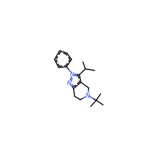 CC(C)c1c2c(nn1-c1ccccc1)CCN(C(C)(C)C)C2